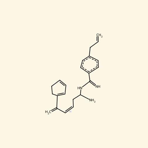 C=CCc1ccc(C(=N)NC(N)C/C=C\C(=C)C2=CC=CCC2)cc1